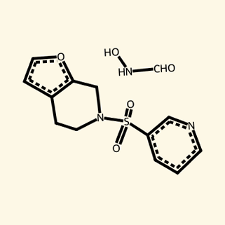 O=CNO.O=S(=O)(c1cccnc1)N1CCc2ccoc2C1